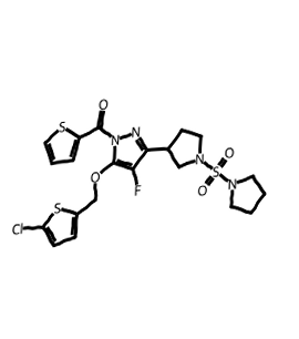 O=C(c1cccs1)n1nc(C2CCN(S(=O)(=O)N3CCCC3)C2)c(F)c1OCc1ccc(Cl)s1